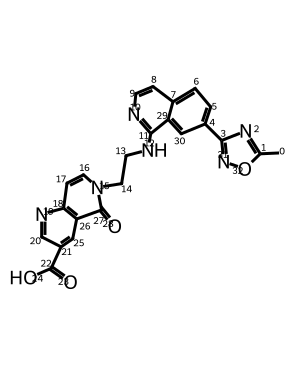 Cc1nc(-c2ccc3ccnc(NCCn4ccc5ncc(C(=O)O)cc5c4=O)c3c2)no1